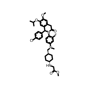 COC(=O)CN[C@H]1CC[C@H](CN(C)c2ccc(N3C(=O)Cc4cc(OC)c(OC(C)C)cc4C3c3ccc(Cl)cc3)c(F)c2)CC1